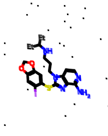 CCC(CC)NCCCn1c(Sc2cc3c(cc2I)OCO3)nc2c(N)nccc21